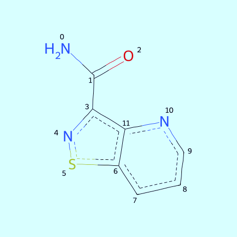 NC(=O)c1nsc2cccnc12